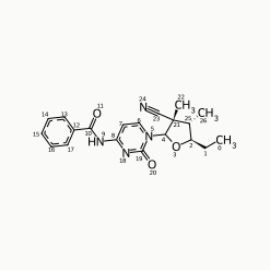 CC[C@H]1OC(n2ccc(NC(=O)c3ccccc3)nc2=O)[C@](C)(C#N)[C@@H]1C